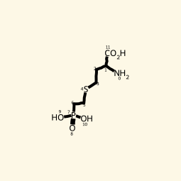 NC(CCSCCP(=O)(O)O)C(=O)O